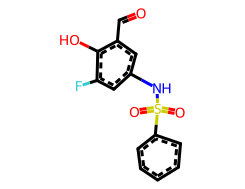 O=Cc1cc(NS(=O)(=O)c2ccccc2)cc(F)c1O